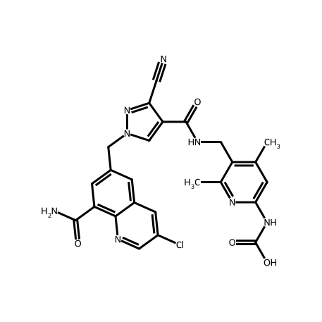 Cc1cc(NC(=O)O)nc(C)c1CNC(=O)c1cn(Cc2cc(C(N)=O)c3ncc(Cl)cc3c2)nc1C#N